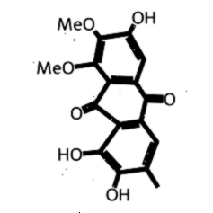 COc1c(O)cc2c(c1OC)C(=O)c1c(cc(C)c(O)c1O)C2=O